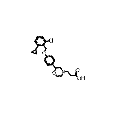 O=C(O)CCN1CCOC(c2ccc(OCc3c(Cl)cccc3C3CC3)cc2)C1